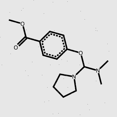 COC(=O)c1ccc(OC(N(C)C)N2CCCC2)cc1